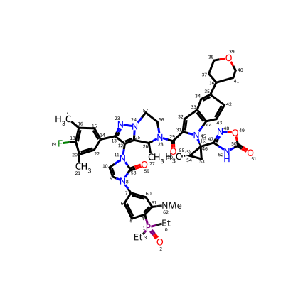 CCP(=O)(CC)c1ccc(-n2ccn(-c3c(-c4cc(C)c(F)c(C)c4)nn4c3C(C)N(C(=O)c3cc5cc(C6CCOCC6)ccc5n3[C@@]3(c5noc(=O)[nH]5)C[C@@H]3C)CC4)c2=O)cc1NC